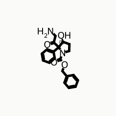 NCC(=O)C1(c2ccccc2)[C@@H](O)CCN1C(=O)OCc1ccccc1